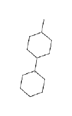 CC1CCC([C]2CCCCC2)CC1